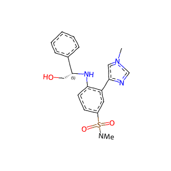 CNS(=O)(=O)c1ccc(N[C@H](CO)c2ccccc2)c(-c2cn(C)cn2)c1